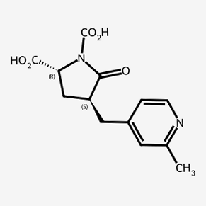 Cc1cc(C[C@H]2C[C@H](C(=O)O)N(C(=O)O)C2=O)ccn1